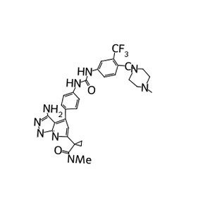 CNC(=O)C1(c2cc(-c3ccc(NC(=O)Nc4ccc(CN5CCN(C)CC5)c(C(F)(F)F)c4)cc3)c3c(N)nn(C)c3n2)CC1